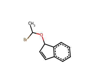 CC(Br)OC1C=Cc2cc[c]cc21